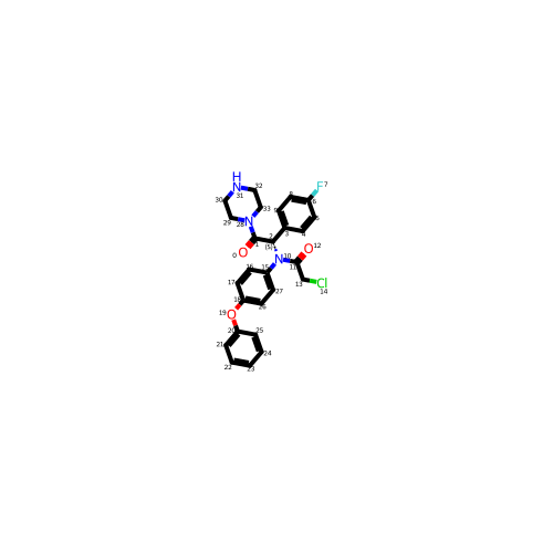 O=C([C@H](c1ccc(F)cc1)N(C(=O)CCl)c1ccc(Oc2ccccc2)cc1)N1CCNCC1